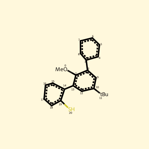 COc1c(-c2ccccc2)cc(C(C)(C)C)cc1-c1ccccc1S